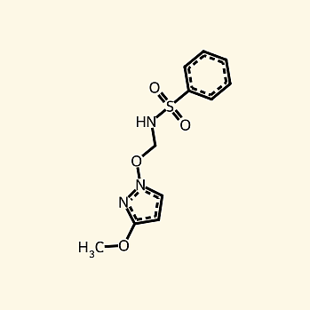 COc1ccn(OCNS(=O)(=O)c2ccccc2)n1